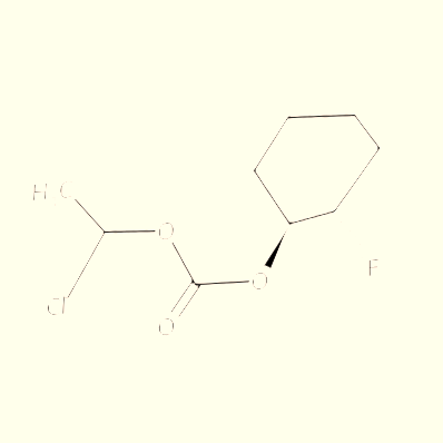 CC(Cl)OC(=O)O[C@H]1CCCC[C@@H]1F